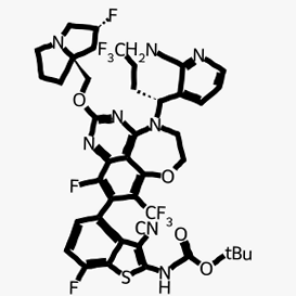 CC(C)(C)OC(=O)Nc1sc2c(F)ccc(-c3c(C(F)(F)F)c4c5c(nc(OC[C@@]67CCCN6C[C@H](F)C7)nc5c3F)N([C@H](CCC(F)(F)F)c3cccnc3N)CCO4)c2c1C#N